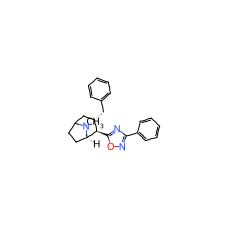 CN1C2CC[C@@H]1[C@H](c1nc(-c3ccccc3)no1)[C@@H](Cc1ccccc1)C2